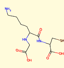 NCCCCC(NCC(=O)O)C(=O)NC(CS)C(=O)O